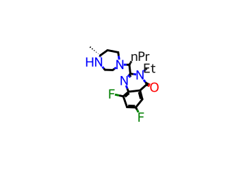 CCCC(c1nc2c(F)cc(F)cc2c(=O)n1CC)N1CCN[C@H](C)CC1